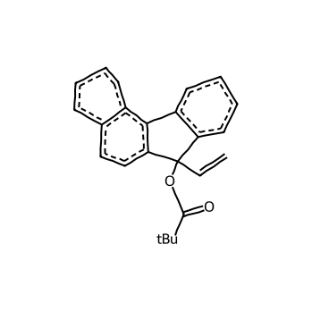 C=CC1(OC(=O)C(C)(C)C)c2ccccc2-c2c1ccc1ccccc21